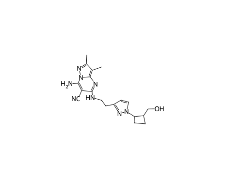 Cc1nn2c(N)c(C#N)c(NCCc3ccn(C4CCC4CO)n3)nc2c1C